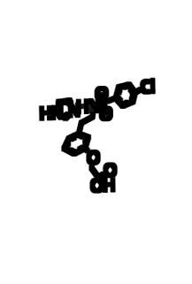 O=C(O)COc1cccc(CCNS(=O)(=O)c2ccc(Cl)cc2)c1.c1c[nH]cn1